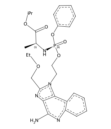 CCOCc1nc2c(N)nc3ccccc3c2n1CCO[P@](=O)(N[C@@H](C)C(=O)OC(C)C)Oc1ccccc1